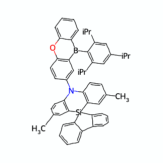 Cc1ccc2c(c1)[Si]1(c3ccccc3-c3ccccc31)c1cc(C)ccc1N2c1ccc2c(c1)B(c1c(C(C)C)cc(C(C)C)cc1C(C)C)c1ccccc1O2